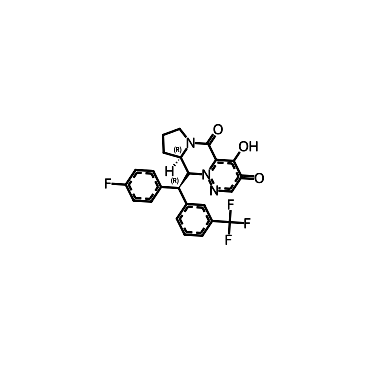 O=C1c2c(O)c(=O)cnn2C([C@H](c2ccc(F)cc2)c2cccc(C(F)(F)F)c2)[C@H]2CCCN12